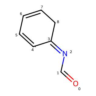 O=CN=C1[C]=CC=CC1